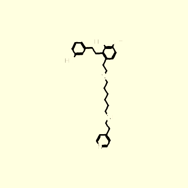 Oc1cccc(CCc2c(CCNCCCCCCNCCc3ccncc3)ccc(O)c2O)c1